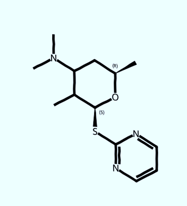 CC1C(N(C)C)C[C@@H](C)O[C@H]1Sc1ncccn1